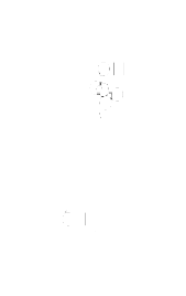 CCCCCCCCCCCCCCCCC=COc1coc(CO)cc1=O